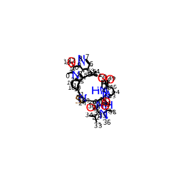 CCn1c(-c2cccnc2[C@H](C)OC)c2c3cc(ccc31)-c1nc(cs1)C[C@H](NC(=O)[C@H](C(C)C)N(C)C(C)=O)C(=O)N1CCC[C@H](N1)C(=O)OCC(C)(C)C2